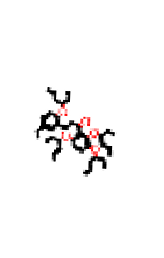 CCCC(CC)Oc1ccc(CC)cc1CCC(=O)c1c(OC(CC)CCC)ccc(OC(CC)CCC)c1OC(CC)CCC